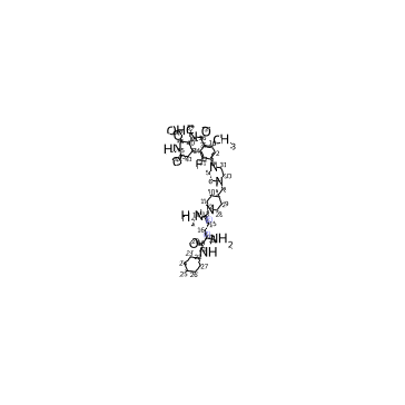 Cc1cc(N2CCN(CC3CCN(/C(N)=C/C=C(\N)C(=O)NC4CCCCC4)CC3)CC2)c(F)cc1C(=O)N(C=O)C1CCC(=O)NC1=O